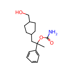 CC(CC1CCC(CO)CC1)(OC(N)=O)c1ccccc1